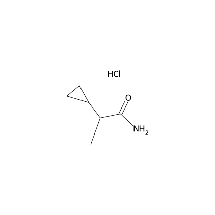 CC(C(N)=O)C1CC1.Cl